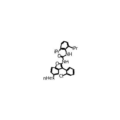 CCCCCCc1ccc2oc(NC(=O)Nc3c(C(C)C)cccc3C(C)C)c(-c3ccccc3Cl)c2c1